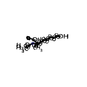 CC(=O)O[C@H]1C[C@@H](OC(=O)OCC(=O)OCC(=O)OCC(=O)OCC(=O)OCC(=O)OCO)[C@H](CC[C@@H](O)CCc2ccccc2)[C@H]1C/C=C\CCCC(=O)OC(C)C